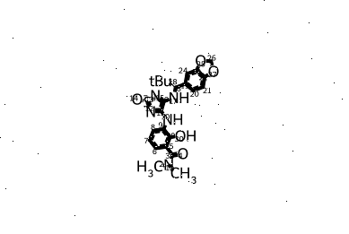 CN(C)C(=O)c1cccc(Nc2n[s+]([O-])nc2N[C@@H](c2ccc3c(c2)OCO3)C(C)(C)C)c1O